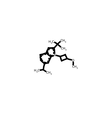 COC1CC(n2c(C(C)(C)C)cc3ccc(C(C)C)cc32)C1